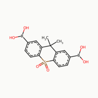 CC1(C)c2cc(B(O)O)ccc2S(=O)(=O)c2ccc(B(O)O)cc21